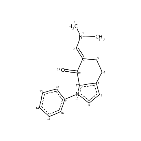 CN(C)C=C1CCc2ccn(-c3ccccc3)c2C1=O